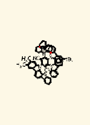 Cc1cc2c3ccc4c5ccccc5sc4c3n(-c3c(C#N)c(-n4c5ccccc5c5ccccc54)c(-n4c5ccc(C(C)(C)C)cc5c5ccc6c7ccccc7sc6c54)c(-n4c5ccccc5c5ccccc54)c3C#N)c2cc1C